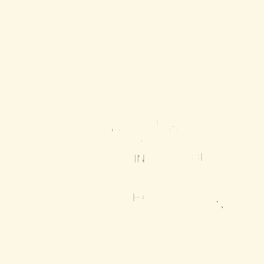 O=C(N[C@H](C(=O)O)[C@@H](O)c1ccncc1)OCC1c2ccccc2-c2ccccc21